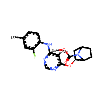 CCc1ccc(Nc2ncnc(O[C@H]3CC4CCC3N4C(=O)OC(C)(C)C)c2OC)c(F)c1